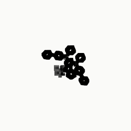 CC1(C)c2ccccc2-c2c(N(c3ccc(-c4ccccc4)cc3)C3C=CC=CC3)cc(N(c3ccccc3)c3ccc(-c4ccccc4)cc3)cc21